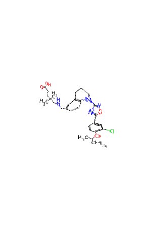 CC(C)Oc1ccc(-c2nc(N3CCCc4cc(CNCC(C)(C)CCC(=O)O)ccc43)no2)cc1Cl